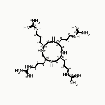 N=C(N)NCCC[C@H]1CN[C@@H](CCCNC(=N)N)CN[C@@H](CCCNC(=N)N)CN[C@@H](CCCNC(=N)N)CN1